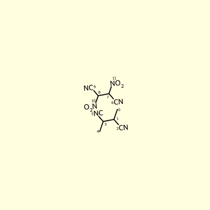 CC(C#N)C(C)C#N.N#CC(C(C#N)[N+](=O)[O-])[N+](=O)[O-]